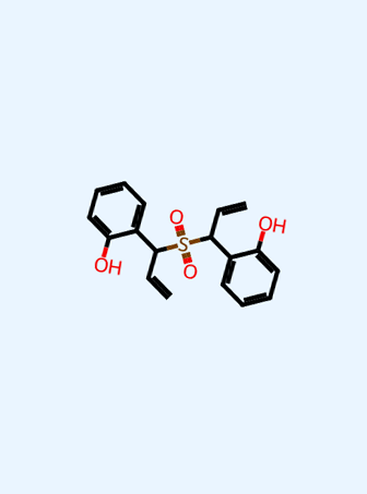 C=CC(c1ccccc1O)S(=O)(=O)C(C=C)c1ccccc1O